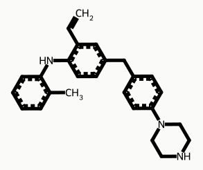 C=Cc1cc(Cc2ccc(N3CCNCC3)cc2)ccc1Nc1ccccc1C